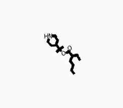 CCCCC(CC)C(=O)OC(C)(C)C1CCNCC1